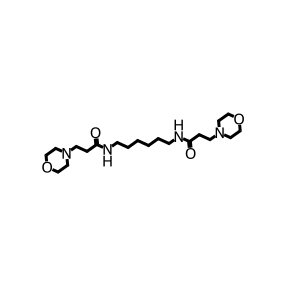 O=C(CCN1CCOCC1)NCCCCCCNC(=O)CCN1CCOCC1